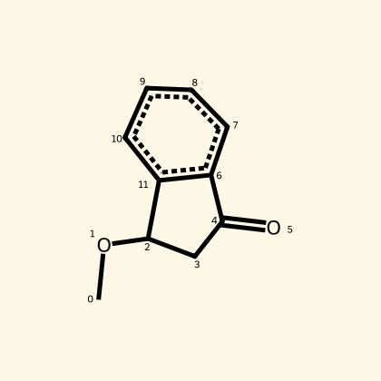 COC1CC(=O)c2ccccc21